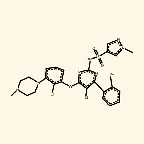 CCc1c(Oc2cccc(N3CCN(C)CC3)c2Cl)nc(NS(=O)(=O)c2cnn(C)c2)nc1-c1ccccc1C(C)C